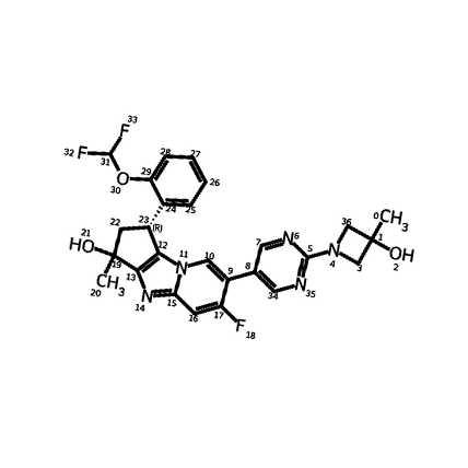 CC1(O)CN(c2ncc(-c3cn4c5c(nc4cc3F)C(C)(O)C[C@@H]5c3ccccc3OC(F)F)cn2)C1